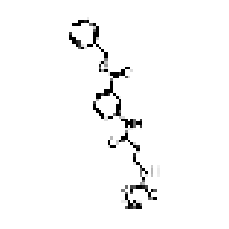 CC(C)(C)OC(=O)NCCC(=O)Nc1cccc(C(=O)OCc2ccccc2)c1